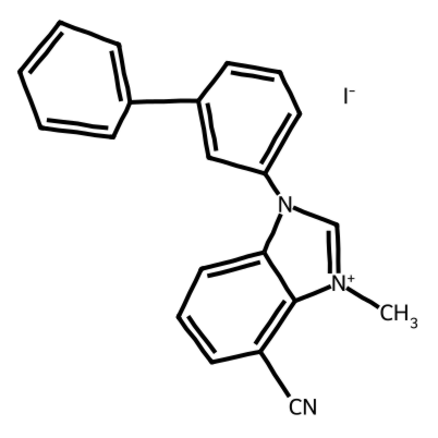 C[n+]1cn(-c2cccc(-c3ccccc3)c2)c2cccc(C#N)c21.[I-]